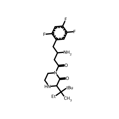 CCC(C)(C1NCCN(C(=O)CC(N)Cc2cc(F)c(F)cc2F)C1=O)C(C)(C)C